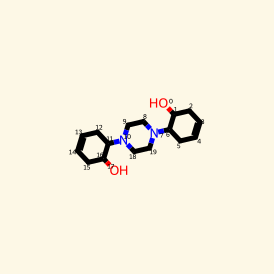 OC1CC=CCC1N1CCN(C2CC=CCC2O)CC1